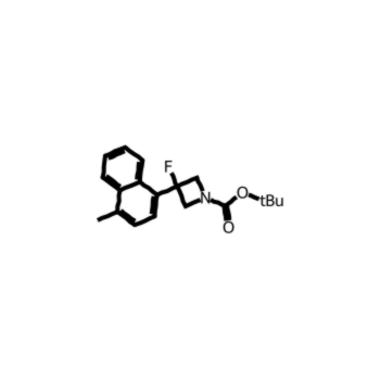 Cc1ccc(C2(F)CN(C(=O)OC(C)(C)C)C2)c2ccccc12